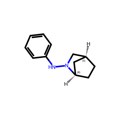 c1ccc(NN2C[C@H]3CC[C@@H]2C3)cc1